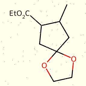 CCOC(=O)C1CC2(CC1C)OCCO2